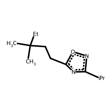 CCC(C)(C)CCc1nc(C(C)C)no1